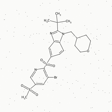 CC(C)(C)c1nc2cc(S(=O)(=O)c3ncc(S(C)(=O)=O)cc3Br)ccc2n1CC1CCOCC1